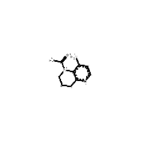 Nc1ccnc2c1N(C(=O)O)CCC2